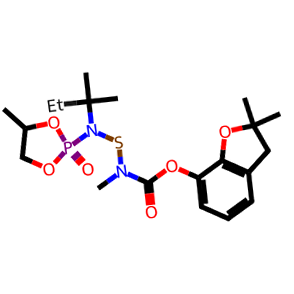 CCC(C)(C)N(SN(C)C(=O)Oc1cccc2c1OC(C)(C)C2)P1(=O)OCC(C)O1